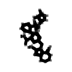 CCCc1nc2c(n1Cc1ccc(-c3ccccc3S(=O)(=O)Nc3noc(C)c3C)c(C(C)O)c1)C(=O)CCCC2